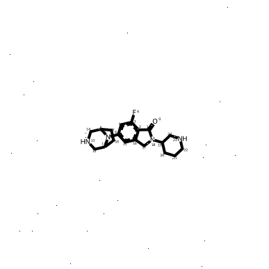 O=C1c2c(F)cc(N3C4CCC3CNC4)cc2CN1C1CCCNC1